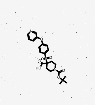 CC(C)(C)OC(=O)N1CCC(C(=O)O)(S(=O)(=O)c2ccc(Oc3cccnc3)cc2)CC1